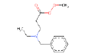 CCN(CCC(=O)OOC)Cc1ccccc1